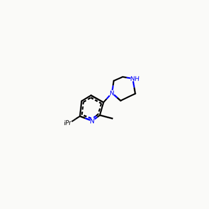 Cc1nc(C(C)C)ccc1N1CCNCC1